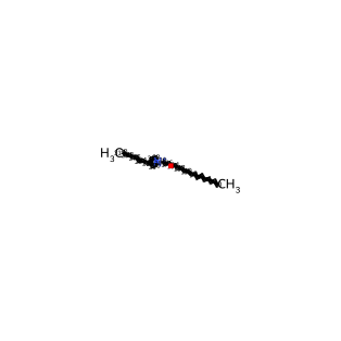 CCCCCCCCCCCCCCCCCCC[n+]1ccc(CCCCCCCCC)cc1